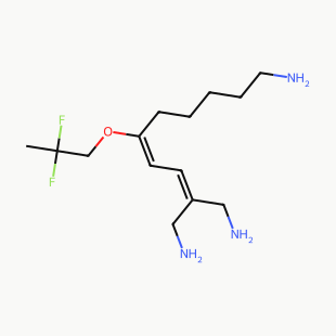 CC(F)(F)COC(=CC=C(CN)CN)CCCCCN